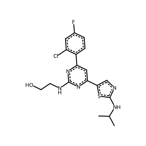 CC(C)Nc1ncc(-c2cc(-c3ccc(F)cc3Cl)nc(NCCO)n2)s1